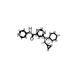 O=C(Nc1ccncc1)c1cc(N(CC2CC2)C2CCCCC2)ncn1